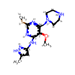 COc1c(Nc2cc(C)[nH]n2)nc(SC)nc1N1CCNCC1